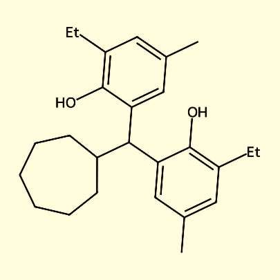 CCc1cc(C)cc(C(c2cc(C)cc(CC)c2O)C2CCCCCC2)c1O